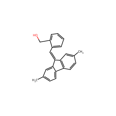 Cc1ccc2c(c1)C(=Cc1ccccc1CO)c1cc(C)ccc1-2